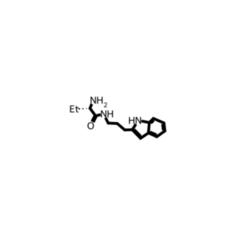 CC[C@H](N)C(=O)NCCCc1cc2ccccc2[nH]1